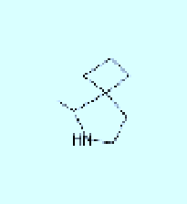 CC1NCCC12CCC2